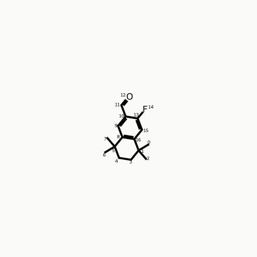 CC1(C)CCC(C)(C)c2cc(C=O)c(F)cc21